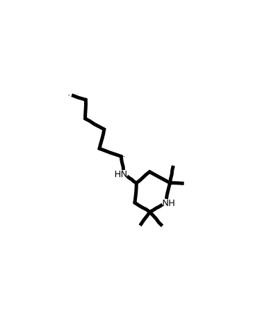 [CH2]CCCC[CH]NC1CC(C)(C)NC(C)(C)C1